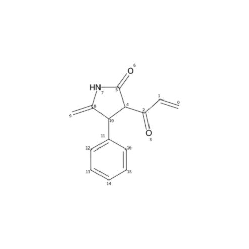 C=CC(=O)C1C(=O)NC(=C)C1c1ccccc1